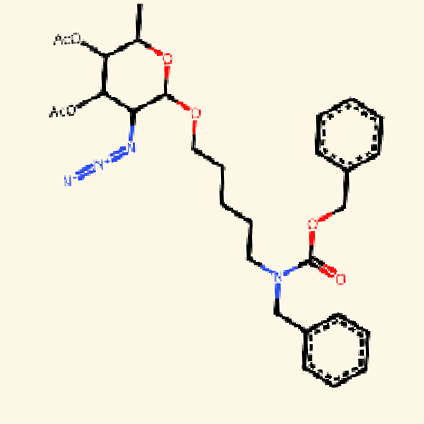 CC(=O)OC1C(C)OC(OCCCCCN(Cc2ccccc2)C(=O)OCc2ccccc2)C(N=[N+]=[N-])C1OC(C)=O